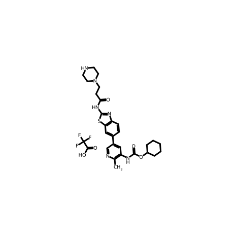 Cc1ncc(-c2ccc3nc(NC(=O)CCN4CCNCC4)sc3c2)cc1NC(=O)OC1CCCCC1.O=C(O)C(F)(F)F